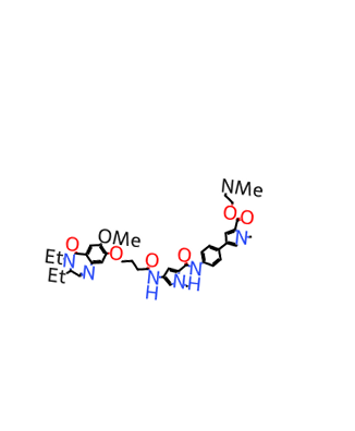 CCC1C=Nc2cc(OCCCC(=O)Nc3cc(C(=O)Nc4ccc(-c5cc(C(=O)OCCNC)n(C)c5)cc4)n(C)c3)c(OC)cc2C(=O)N1CC